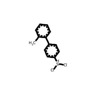 Cc1ccccc1-c1ccc([SiH](Cl)Cl)cc1